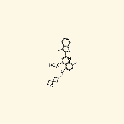 Cc1c(-c2cc(C(=O)O)c3c(OC[C@H]4C[C@@]5(CCO5)C4)ccc(C)c3n2)sc2ccccc12